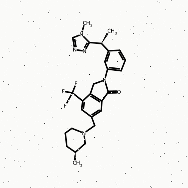 C[C@H]1CCCN(Cc2cc3c(c(C(F)(F)F)c2)CN(c2cccc([C@H](C)c4nncn4C)c2)C3=O)C1